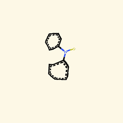 [S]N(c1ccccc1)c1ccccc1